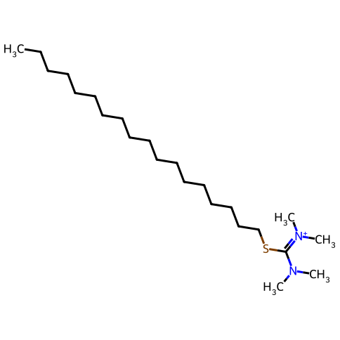 CCCCCCCCCCCCCCCCCCSC(N(C)C)=[N+](C)C